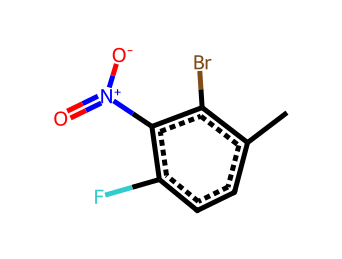 Cc1ccc(F)c([N+](=O)[O-])c1Br